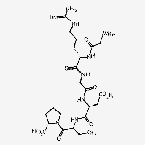 CNCC(=O)N[C@@H](CCCNC(=N)N)C(=O)NCC(=O)N[C@@H](CC(=O)O)C(=O)N[C@@H](CO)C(=O)N1CCC[C@H]1C(=O)O